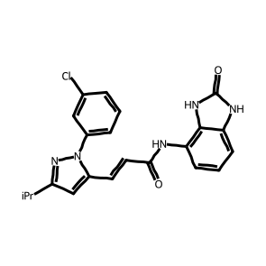 CC(C)c1cc(/C=C/C(=O)Nc2cccc3[nH]c(=O)[nH]c23)n(-c2cccc(Cl)c2)n1